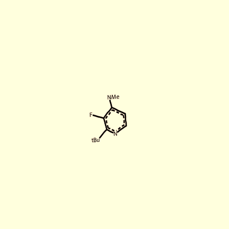 CNc1ccnc(C(C)(C)C)c1F